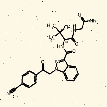 CC(C)(C)[C@H](NC(=O)c1nn(CC(=O)c2ccc(C#N)cc2)c2ccccc12)C(=O)NCC(N)=O